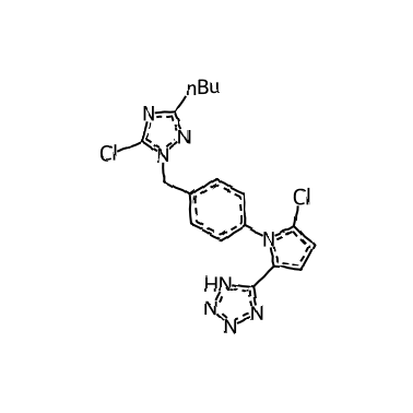 CCCCc1nc(Cl)n(Cc2ccc(-n3c(Cl)ccc3-c3nnn[nH]3)cc2)n1